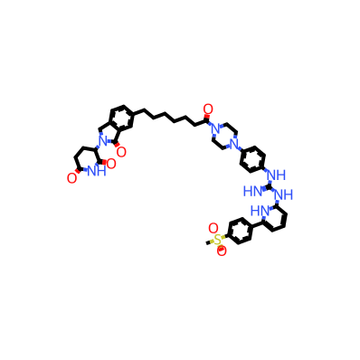 CS(=O)(=O)c1ccc(C2=CC=CC(NC(=N)Nc3ccc(N4CCN(C(=O)CCCCCCc5ccc6c(c5)C(=O)N(C5CCC(=O)NC5=O)C6)CC4)cc3)N2)cc1